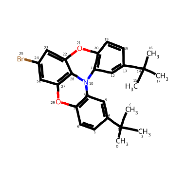 CC(C)(C)c1ccc2c(c1)N1c3cc(C(C)(C)C)ccc3Oc3cc(Br)cc(c31)O2